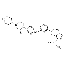 CC(C)c1cnn2ccc(-c3ccnc(Nc4ccc(N5CCN(C6CCNCC6)CC5=O)cn4)n3)cc12